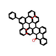 O=C1c2ccccc2-c2cccc3c2C1c1cccc2c1C3c1ccccc1C2c1c(-c2ccccc2)cc(-c2ccccc2)cc1-c1ccccc1